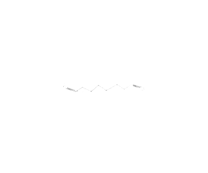 S=[C]CCCCCCC=S